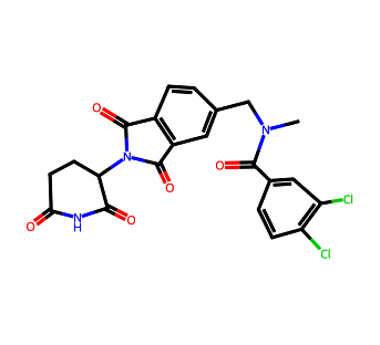 CN(Cc1ccc2c(c1)C(=O)N(C1CCC(=O)NC1=O)C2=O)C(=O)c1ccc(Cl)c(Cl)c1